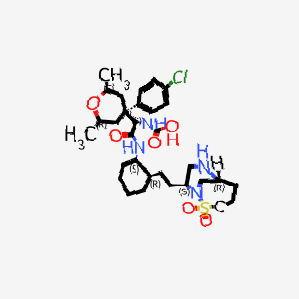 C[C@@H]1C[C@](c2ccc(Cl)cc2)([C@H](NC(=O)O)C(=O)N[C@H]2CCCC[C@@H]2CC[C@H]2CN[C@@H]3CCCS(=O)(=O)N2C3)C[C@H](C)O1